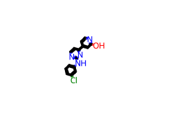 Oc1cc(-c2ccnc(Nc3cccc(Cl)c3)n2)ccn1